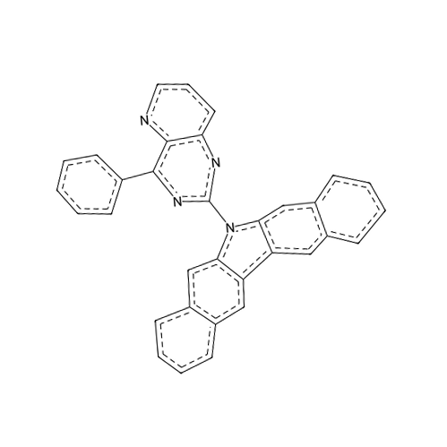 c1ccc(-c2nc(-n3c4cc5ccccc5cc4c4cc5ccccc5cc43)nc3cccnc23)cc1